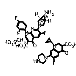 CS(=O)(=O)O.N[C@@H]1[C@H]2CN(c3nc4c(cc3F)c(=O)c(C(=O)O)cn4-c3ccc(F)cc3F)C[C@@H]12.O=C(O)c1cn(C2CC2)c2cc(N3CCNCC3)c(F)cc2c1=O